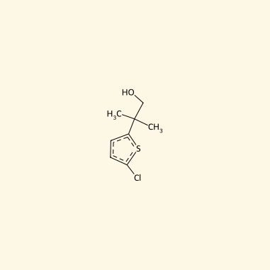 CC(C)(CO)c1ccc(Cl)s1